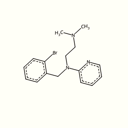 CN(C)CCN(Cc1ccccc1Br)c1ccccn1